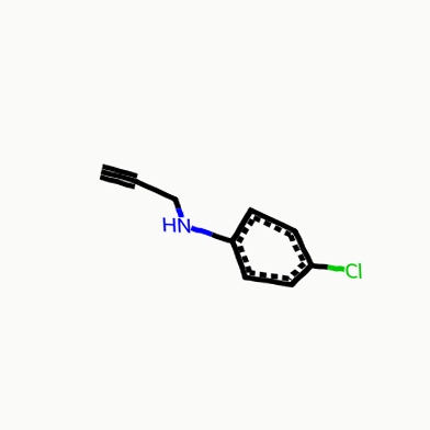 C#CCNc1ccc(Cl)cc1